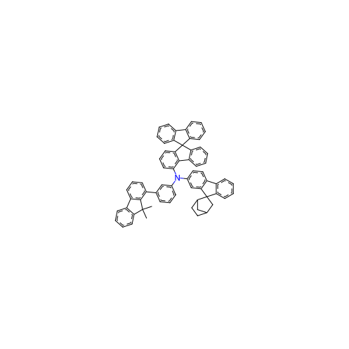 CC1(C)c2ccccc2-c2cccc(-c3cccc(N(c4ccc5c(c4)C4(CC6CCC4C6)c4ccccc4-5)c4cccc5c4-c4ccccc4C54c5ccccc5-c5ccccc54)c3)c21